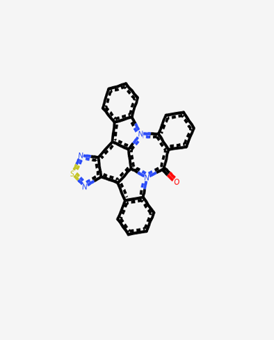 O=c1c2ccccc2n2c3ccccc3c3c4nsnc4c4c5ccccc5n1c4c32